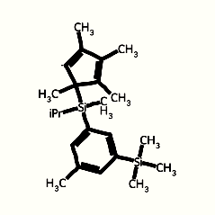 CC1=[C]C(C)([Si](C)(c2cc(C)cc([Si](C)(C)C)c2)C(C)C)C(C)=C1C